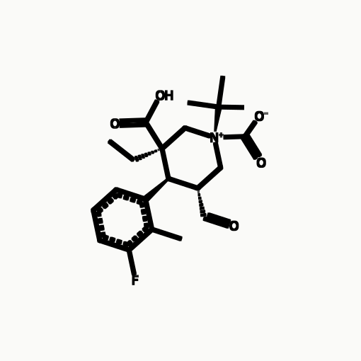 CC[C@]1(C(=O)O)C[N@@+](C(=O)[O-])(C(C)(C)C)C[C@H](C=O)[C@H]1c1cccc(F)c1C